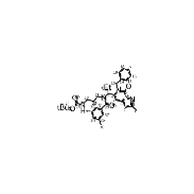 CC[C@H](c1cc2cc(C)nn2c(=O)n1Cc1ccccc1)N(CCCNC(=O)OC(C)(C)C)C(=O)c1cccc(C)c1